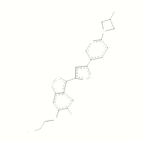 COCCOc1cc2[nH]nc(-c3cc(-c4ccc(N5CC(F)C5)nc4)no3)c2cc1F